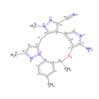 Cc1ccc2c(c1)[C@@H](C)Oc1cc(cnc1N)-c1c(C#N)nn(C)c1Cc1cc(C)nn1-2